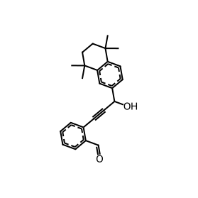 CC1(C)CCC(C)(C)c2cc(C(O)C#Cc3ccccc3C=O)ccc21